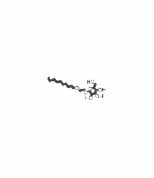 CCCCCCCCCCOCCO[C@H]1OC(CO)[C@@H](O)[C@@H](O)C1O